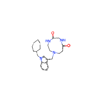 O=C1CCN(Cc2cn(CC3CCCCCC3)c3ccccc23)CCNC(=O)CN1